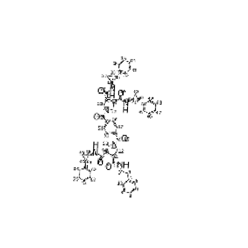 O=C(NCCc1ccccc1)[C@@H]1CN(C(=O)c2ccc(C(=O)N3C[C@@H](C(=O)N[C@H]4C[C@@H]4c4ccccc4)[C@H](C(=O)N[C@H]4C[C@@H]4c4ccccc4)C3)cc2)C[C@H]1C(=O)N[C@H]1C[C@@H]1c1ccccc1